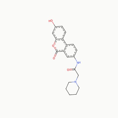 O=C(CN1CCCCC1)Nc1ccc2c(c1)c(=O)oc1cc(O)ccc12